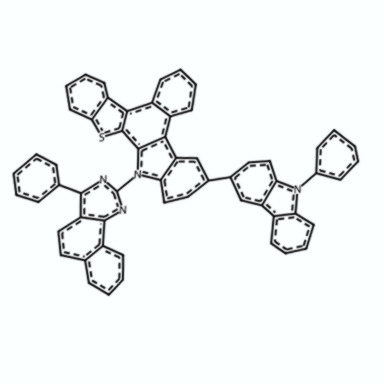 c1ccc(-c2nc(-n3c4ccc(-c5ccc6c(c5)c5ccccc5n6-c5ccccc5)cc4c4c5ccccc5c5c6ccccc6sc5c43)nc3c2ccc2ccccc23)cc1